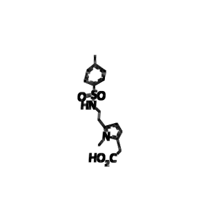 Cc1ccc(S(=O)(=O)NCCc2ccc(CC(=O)O)n2C)cc1